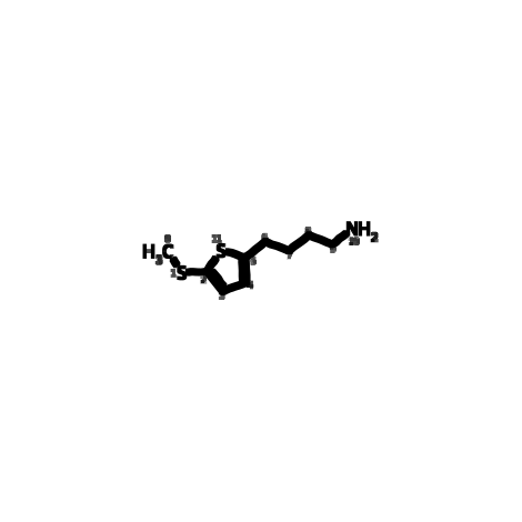 CSc1ccc(CCCCN)s1